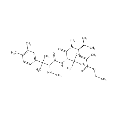 CCOC(=O)/C(C)=C/[C@H](C(C)C)N(C)C(=O)[C@@H](NC(=O)[C@H](NC)C(C)(C)c1ccc(C)c(C)c1)C(C)(C)C